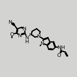 C=CC(=O)Nc1ccc2c(c1)cc(N1CCC[C@@H](Nc3ncc(C#N)c(OC)n3)C1)n2C